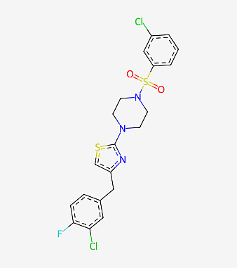 O=S(=O)(c1cccc(Cl)c1)N1CCN(c2nc(Cc3ccc(F)c(Cl)c3)cs2)CC1